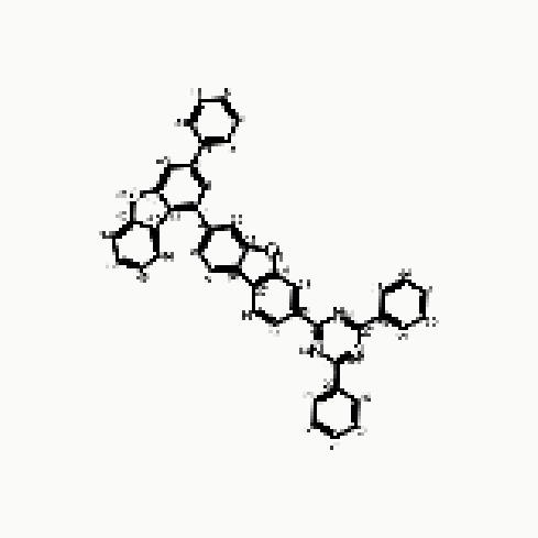 c1ccc(-c2cc(-c3ccc4c(c3)oc3cc(-c5nc(-c6ccccc6)nc(-c6ccccc6)n5)ccc34)c3c(c2)sc2ccccc23)cc1